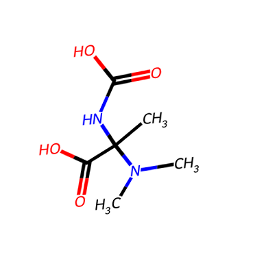 CN(C)C(C)(NC(=O)O)C(=O)O